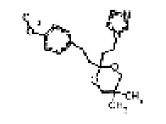 COc1ccc(CCC2(CCn3ccnc3)OCC(C)(C)CO2)cc1